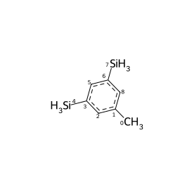 Cc1cc([SiH3])cc([SiH3])c1